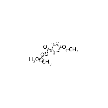 CCOc1ccc(C(=O)OO[C](C)C)cc1